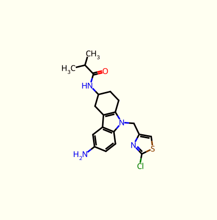 CC(C)C(=O)NC1CCc2c(c3cc(N)ccc3n2Cc2csc(Cl)n2)C1